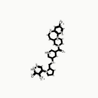 O=C(C1CNCC(OCC2CCCN2c2cn[nH]c(=O)c2C(F)(F)F)C1)N1CCN2c3ncc(C(F)(F)F)cc3OCCC2C1